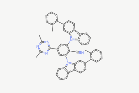 Cc1nc(C)nc(-c2cc(-n3c4ccccc4c4ccc(-c5ccccc5C)cc43)c(C#N)c(-n3c4ccccc4c4ccc(-c5ccccc5C)cc43)c2)n1